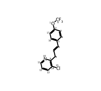 FC(F)(F)Oc1ccc(C=CCc2ncc[c]c2Cl)cc1